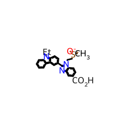 CCn1c2ccccc2c2cc(-c3nc4cc(C(=O)O)ccc4n3CC[S+](C)[O-])ccc21